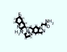 NC(=O)Cn1ncc2cc(-n3cccn3)c(COc3cc4cc(F)ccc4nc3N)cc21